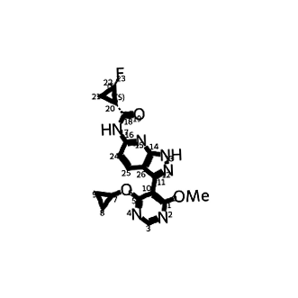 COc1ncnc(OC2CC2)c1-c1n[nH]c2nc(NC(=O)[C@@H]3C[C@@H]3F)ccc12